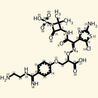 CC1(C)C(NC(=O)C(=NOC(COc2ccc(C(=N)NCCN)cc2)C(=O)O)c2nc(N)sc2Cl)C(=O)N1S(=O)(=O)O